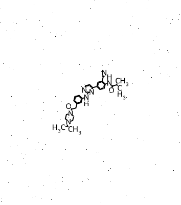 CC(C)C(=O)Nc1ccc(-c2ccnc(Nc3cccc(CC(=O)N4CCN(C(C)C)CC4)c3)n2)cc1C#N